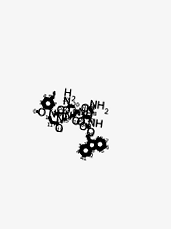 COc1ccc(I)cc1N1CCC(=O)N(CNC(=O)[C@H](CC(N)=O)NC(=O)[C@H](CC(N)=O)NC(=O)OCC2c3ccccc3-c3ccccc32)C1=O